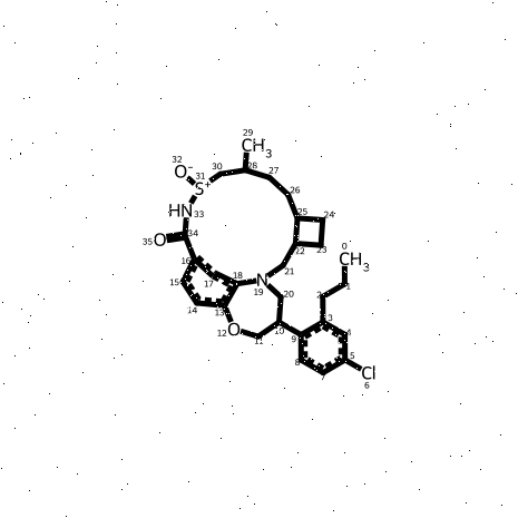 CCCc1cc(Cl)ccc1C1COc2ccc3cc2N(C1)CC1CCC1CCC(C)C[S+]([O-])NC3=O